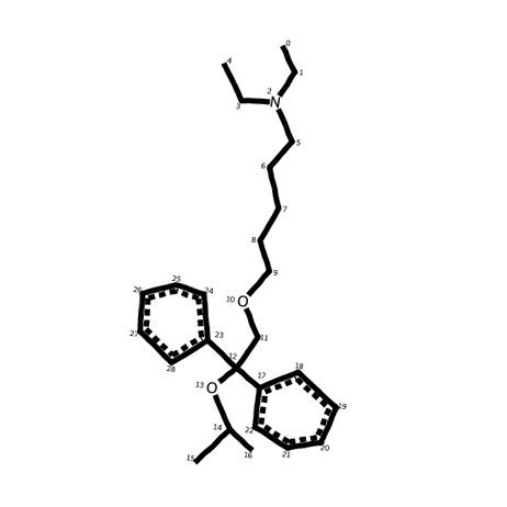 CCN(CC)CCCCCOCC(OC(C)C)(c1ccccc1)c1ccccc1